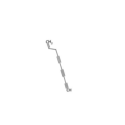 C#CC#CC#CCC=C